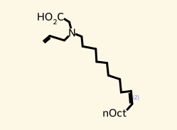 C=CCN(CCCCCCCC/C=C\CCCCCCCC)CC(=O)O